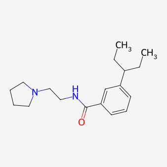 CCC(CC)c1cccc(C(=O)NCCN2CCCC2)c1